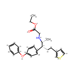 CCOC(=O)CN[C@H](C)[C@H](CCc1ccsc1)c1ccc(Oc2ccccc2)cc1